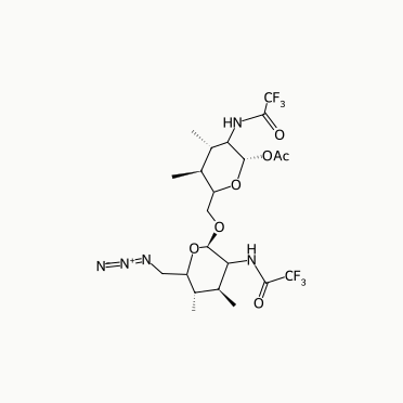 CC(=O)O[C@@H]1OC(CO[C@@H]2OC(CN=[N+]=[N-])[C@@H](C)[C@H](C)C2NC(=O)C(F)(F)F)[C@@H](C)[C@H](C)C1NC(=O)C(F)(F)F